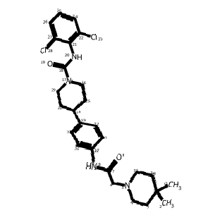 CC1(C)CCN(CC(=O)Nc2ccc(C3CCN(C(=O)Nc4c(Cl)cccc4Cl)CC3)cc2)CC1